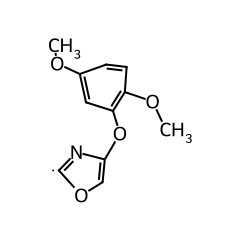 COc1ccc(OC)c(Oc2co[c]n2)c1